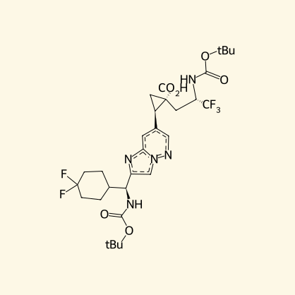 CC(C)(C)OC(=O)N[C@H](c1cn2ncc([C@H]3C[C@]3(C[C@H](NC(=O)OC(C)(C)C)C(F)(F)F)C(=O)O)cc2n1)C1CCC(F)(F)CC1